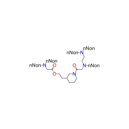 CCCCCCCCCN(CCCCCCCCC)CCN(CCCCCCCCC)CC(=O)N1CCCC(CCOC(=O)CN(CCCCCCCCC)CCCCCCCCC)C1